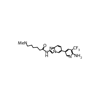 CNCCCCCC(=O)Nc1cn2cc(-c3cnc(N)c(C(F)(F)F)c3)ccc2n1